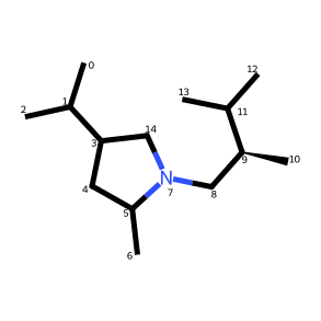 CC(C)C1CC(C)N(C[C@H](C)C(C)C)C1